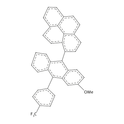 COc1ccc2c(-c3ccc4ccc5cccc6ccc3c4c56)c3ccccc3c(-c3ccc(C(F)(F)F)cc3)c2c1